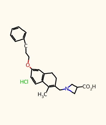 CC1=C(CN2CC(C(=O)O)C2)CCc2cc(OCCCc3ccccc3)ccc21.Cl